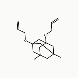 C=CCOC12CC3(C)CC(C)(C1)CC(OCC=C)(C3)C2